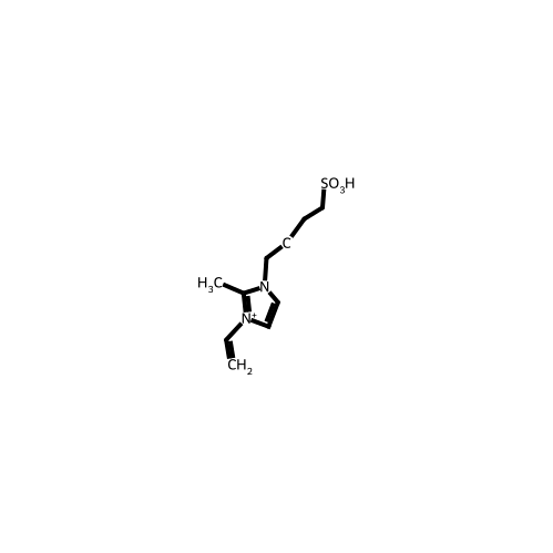 C=C[n+]1ccn(CCCCS(=O)(=O)O)c1C